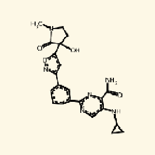 CN1CCC(O)(c2cc(-c3cccc(-c4ncc(NC5CC5)c(C(N)=O)n4)c3)no2)C1=O